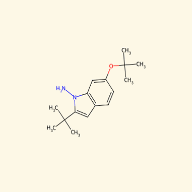 CC(C)(C)Oc1ccc2cc(C(C)(C)C)n(N)c2c1